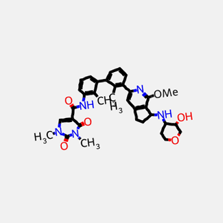 COc1nc(-c2cccc(-c3cccc(NC(=O)c4cn(C)c(=O)n(C)c4=O)c3C)c2C)cc2c1C(NC1CCOCC1O)CC2